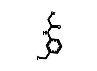 O=C(CBr)Nc1cccc(CF)c1